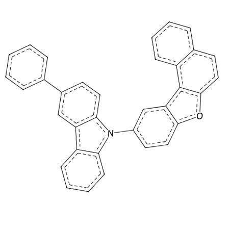 c1ccc(-c2ccc3c(c2)c2ccccc2n3-c2ccc3oc4ccc5ccccc5c4c3c2)cc1